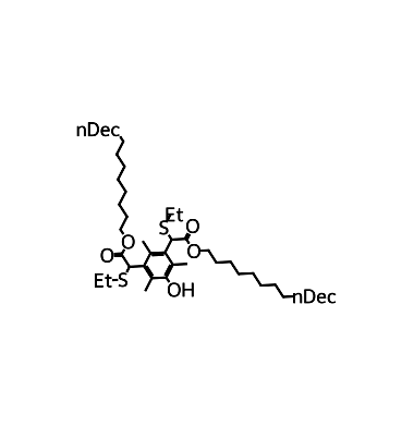 CCCCCCCCCCCCCCCCCCOC(=O)C(SCC)c1c(C)c(O)c(C)c(C(SCC)C(=O)OCCCCCCCCCCCCCCCCCC)c1C